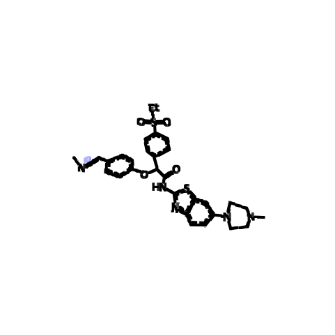 CCS(=O)(=O)c1ccc(C(Oc2ccc(/C=N/C)cc2)C(=O)Nc2nc3ccc(N4CCN(C)CC4)cc3s2)cc1